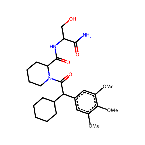 COc1cc(C(C(=O)N2CCCCC2C(=O)NC(CO)C(N)=O)C2CCCCC2)cc(OC)c1OC